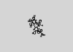 COc1ccc([C@H]2C(C)C(=O)N2c2cc(OC)c(OC)c(OC)c2)cc1OC(=O)C1CC1